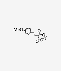 COc1ccc(CCC2C(=O)OC(C)(C)OC2=O)cc1